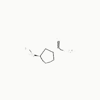 CCN[C@@H]1CC[C@@H](C(=O)OC)C1